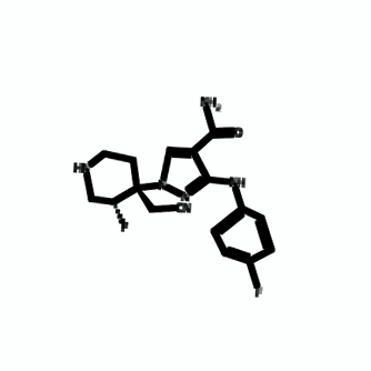 N#CC[C@]1(n2cc(C(N)=O)c(Nc3ccc(F)cc3)n2)CCNC[C@H]1F